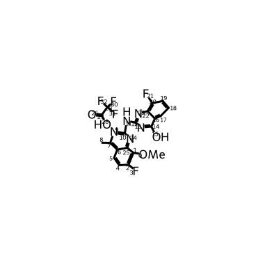 COc1c(F)ccc2c(C)nc(Nc3nc(O)c4cccc(F)c4n3)nc12.O=C(O)C(F)(F)F